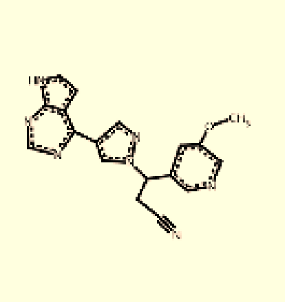 COc1cncc(C(CC#N)n2cc(-c3ncnc4[nH]ccc34)cn2)c1